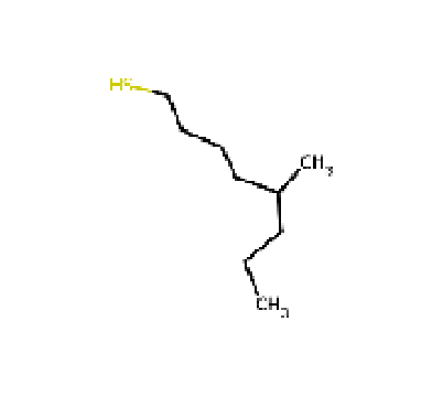 CCCC(C)CCCCS